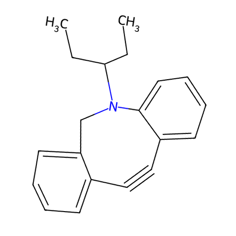 CCC(CC)N1Cc2ccccc2C#Cc2ccccc21